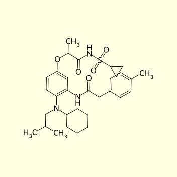 Cc1ccc(CC(=O)Nc2cc(OC(C)C(=O)NS(=O)(=O)C3CC3)ccc2N(CC(C)C)C2CCCCC2)cc1